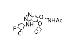 CC(=O)NCCOc1cc2ncnc(Nc3ccc(F)c(Cl)c3)c2cc1OC1CCOC1